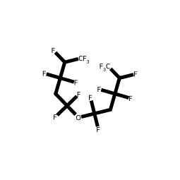 FC(C(F)(F)F)C(F)(F)CC(F)(F)OC(F)(F)CC(F)(F)C(F)C(F)(F)F